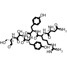 CC(NC(=O)[C@H](Cc1ccc(O)cc1)NC(=O)C(Cc1ccc(O)cc1)NC(=O)C(CCCNC(=N)N)NC(=O)[C@@H](N)CC(N)=O)C(=O)N[C@H](C=O)CO